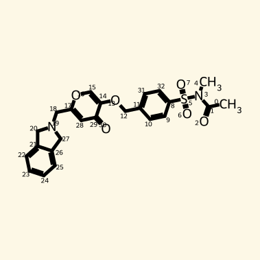 CC(=O)N(C)S(=O)(=O)c1ccc(COc2coc(CN3Cc4ccccc4C3)cc2=O)cc1